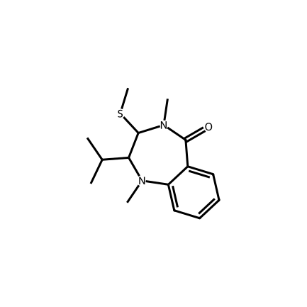 CSC1C(C(C)C)N(C)c2ccccc2C(=O)N1C